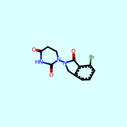 O=C1CCN(N2Cc3cccc(Br)c3C2=O)C(=O)N1